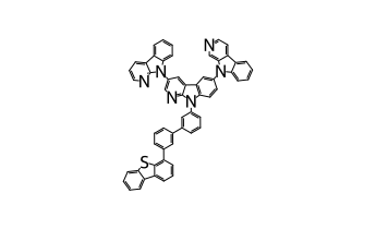 c1cc(-c2cccc(-n3c4ccc(-n5c6ccccc6c6ccncc65)cc4c4cc(-n5c6ccccc6c6cccnc65)cnc43)c2)cc(-c2cccc3c2sc2ccccc23)c1